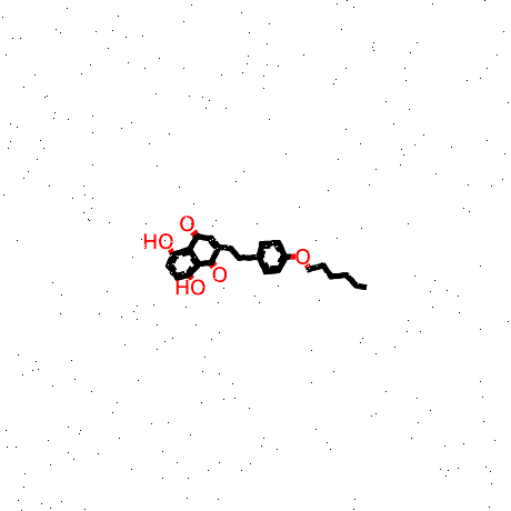 CCCCCCOc1ccc(CCC2=CC(=O)c3c(O)ccc(O)c3C2=O)cc1